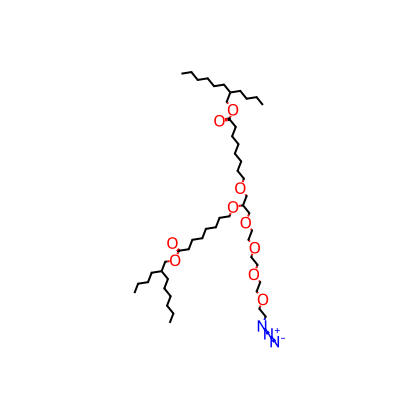 CCCCCCC(CCCC)COC(=O)CCCCCCCOCC(COCCOCCOCCOCCN=[N+]=[N-])OCCCCCCCC(=O)OCC(CCCC)CCCCCC